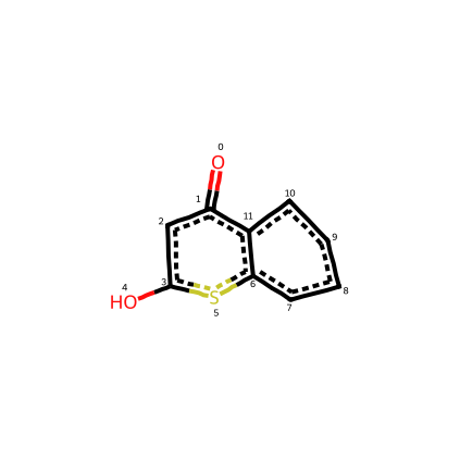 O=c1cc(O)sc2ccccc12